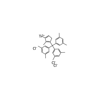 CC1=C(C(c2cc(C)cc(C)c2)(c2cc(C)cc(C)c2)c2cc(C)cc(C)c2)CC=[C]1[Ti+3].[Cl-].[Cl-].[Cl-]